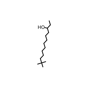 CCC(O)CCCCCCCCC(C)(C)C